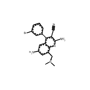 CN(C)Cc1cc(N)cc2c(-c3cccc(Br)c3)c(C#N)c(N)nc12